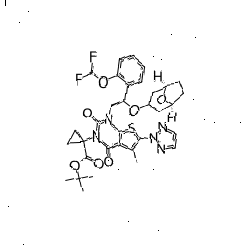 Cc1c(-n2nccn2)sc2c1c(=O)n(C1(C(=O)OC(C)(C)C)CC1)c(=O)n2C[C@H](OC1C[C@H]2CC[C@@H](C1)O2)c1ccccc1OC(F)F